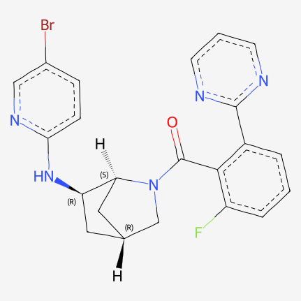 O=C(c1c(F)cccc1-c1ncccn1)N1C[C@@H]2C[C@@H](Nc3ccc(Br)cn3)[C@@H]1C2